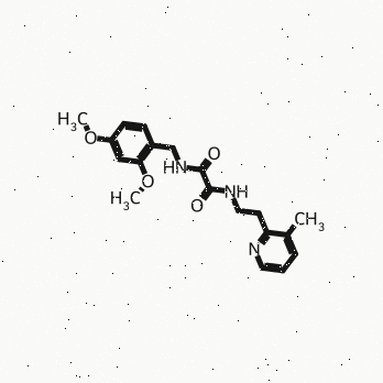 COc1ccc(CNC(=O)C(=O)NCCc2ncccc2C)c(OC)c1